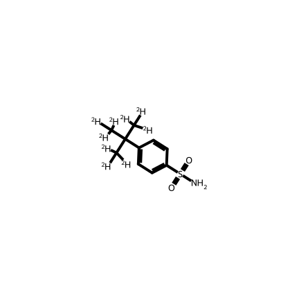 [2H]C([2H])([2H])C(c1ccc(S(N)(=O)=O)cc1)(C([2H])([2H])[2H])C([2H])([2H])[2H]